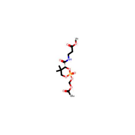 CC(C)OC(=O)CCNC(=O)[C@@H]1O[P@@](=O)(OCOC(=O)C(C)(C)C)OCC1(C)C